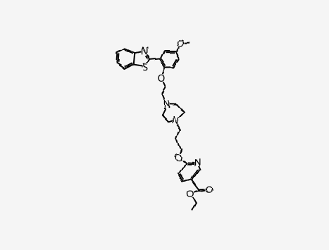 CCOC(=O)c1ccc(OCCCN2CCN(CCOc3ccc(OC)cc3-c3nc4ccccc4s3)CC2)nc1